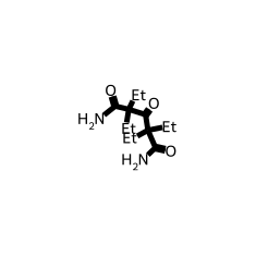 CCC(CC)(C(N)=O)C(=O)C(CC)(CC)C(N)=O